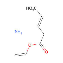 C=COC(=O)CC=CC(=O)O.N